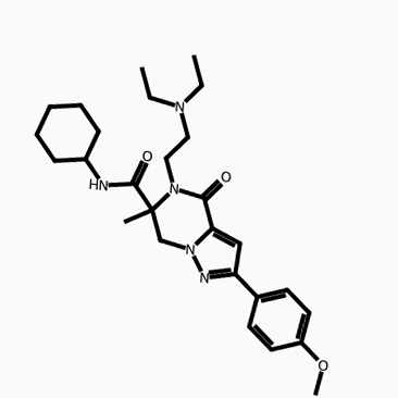 CCN(CC)CCN1C(=O)c2cc(-c3ccc(OC)cc3)nn2CC1(C)C(=O)NC1CCCCC1